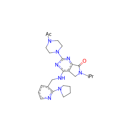 CC(=O)N1CCN(c2nc(NCc3cccnc3N3CCCC3)c3c(n2)C(=O)N(C(C)C)C3)CC1